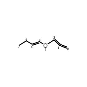 C=C=COC=CCC